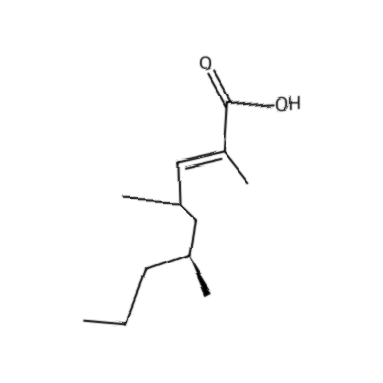 CCC[C@H](C)CC(C)/C=C(\C)C(=O)O